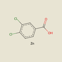 O=C(O)c1ccc(Cl)c(Cl)c1.[Zn]